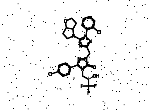 O=c1n(Cc2nc(N3CCC4OCCC43)n(-c3ccccc3Cl)n2)nc(-c2ccc(Cl)cc2)n1C[C@H](O)C(F)(F)F